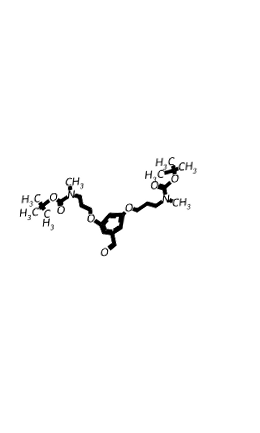 CN(CCCOc1cc(C=O)cc(OCCCN(C)C(=O)OC(C)(C)C)c1)C(=O)OC(C)(C)C